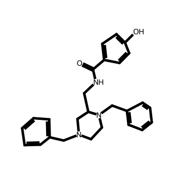 O=C(NCC1CN(Cc2ccccc2)CCN1Cc1ccccc1)c1ccc(O)cc1